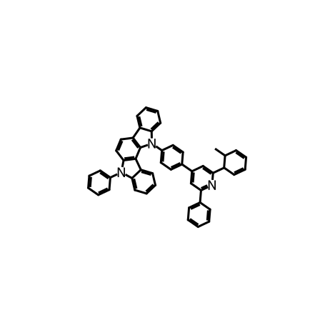 CC1C=CC=CC1c1cc(-c2ccc(-n3c4ccccc4c4ccc5c(c6ccccc6n5-c5ccccc5)c43)cc2)cc(-c2ccccc2)n1